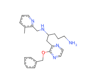 Cc1cccnc1CNC(CCCN)Cc1nccnc1OCc1ccccc1